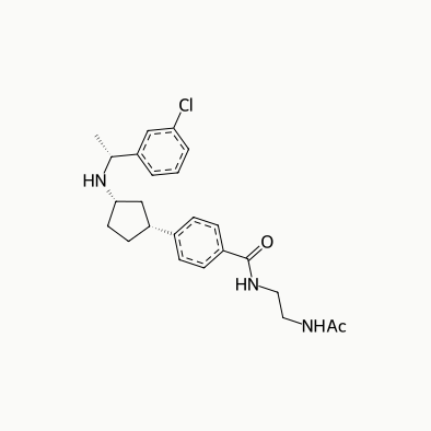 CC(=O)NCCNC(=O)c1ccc([C@@H]2CC[C@H](N[C@H](C)c3cccc(Cl)c3)C2)cc1